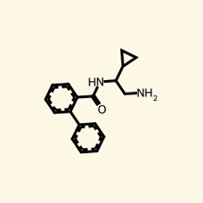 NCC(NC(=O)c1ccccc1-c1ccccc1)C1CC1